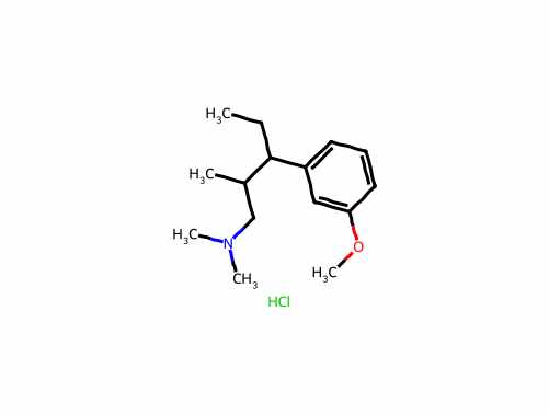 CCC(c1cccc(OC)c1)C(C)CN(C)C.Cl